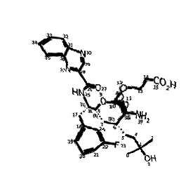 CC(C)(O)CC[C@H](C[C@@H](OC(=O)OCCC(=O)O)[C@H](Cc1cccc(F)c1)NC(=O)c1cnc2ccccc2n1)C(N)=O